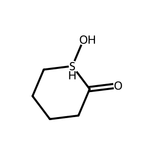 O=C1CCCC[SH]1O